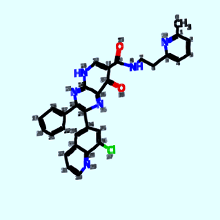 Cc1cccc(CCNC(=O)c2c[nH]c3nc(-c4ccccc4)c(-c4cc(Cl)c5ncccc5c4)nc3c2=O)n1